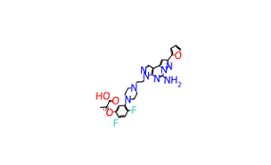 C[C@H](Oc1cc(N2CCN(CCn3ncc4c3nc(N)n3nc(-c5ccco5)cc43)CC2)c(F)cc1F)C(=O)O